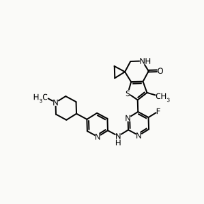 Cc1c(-c2nc(Nc3ccc(C4CCN(C)CC4)cn3)ncc2F)sc2c1C(=O)NCC21CC1